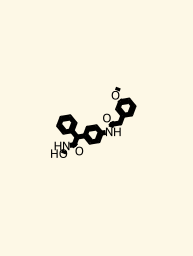 COc1cccc(CC(=O)Nc2ccc(C(C(=O)NO)c3ccccc3)cc2)c1